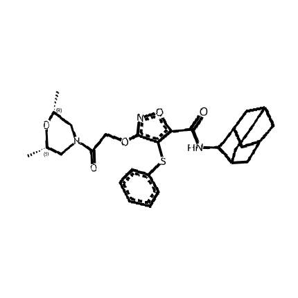 C[C@@H]1CN(C(=O)COc2noc(C(=O)NC3C4CC5CC(C4)CC3C5)c2Sc2ccccc2)C[C@H](C)O1